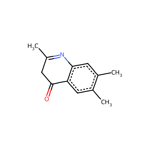 CC1=Nc2cc(C)c(C)cc2C(=O)C1